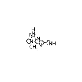 Cc1cccc(-c2n[nH]cc2-c2ccc3ncc(C4=CCNC4)cc3n2)n1